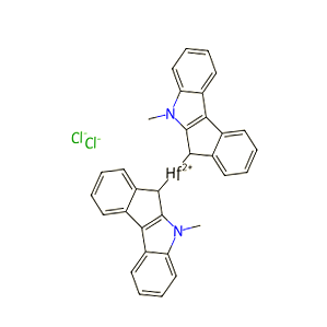 Cn1c2c(c3ccccc31)-c1ccccc1[CH]2[Hf+2][CH]1c2ccccc2-c2c1n(C)c1ccccc21.[Cl-].[Cl-]